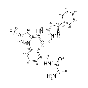 C[C@H](N)C(=O)NCc1cccc(-n2nc(C(F)(F)F)cc2C(=O)Nc2cc(-c3ccccc3)nn2C)c1